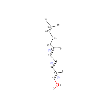 CO/C=C(C)/C=C/C=C(\C)CCC=C(C)C